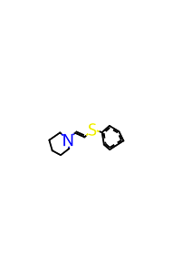 C(=C\N1CCCCC1)/Sc1ccccc1